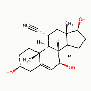 C#C[C@@H]1C[C@]2(C)[C@@H](O)CC[C@H]2[C@H]2[C@H]1[C@@]1(C)CC[C@H](O)CC1=C[C@@H]2O